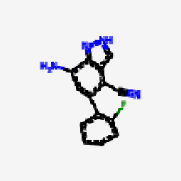 N#Cc1c(-c2ccccc2F)cc(N)c2n[nH]cc12